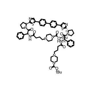 CC(C)(C)OC(=O)N1CCN(CCCC(=O)N[C@@H](C(=O)N2CCC[C@H]2c2ncc(-c3ccc(-c4ccc(-c5cnc([C@@H]6CCCN6C(=O)[C@H](NC(=O)CCCN6CCN(C(=O)OC(C)(C)C)CC6)c6ccccc6)s5)cc4)cc3)s2)c2ccccc2)CC1